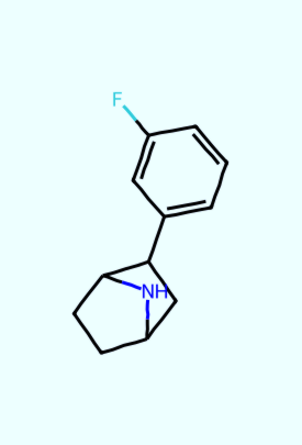 Fc1cccc(C2CC3CCC2N3)c1